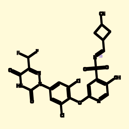 N#CC1CC(/C=N/S(=O)(=O)c2cc(Oc3c(Cl)cc(-n4nc(C(F)F)c(=O)[nH]c4=O)cc3Cl)ncc2O)C1